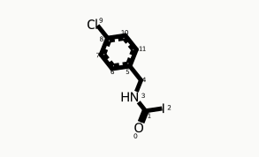 O=C(I)NCc1ccc(Cl)cc1